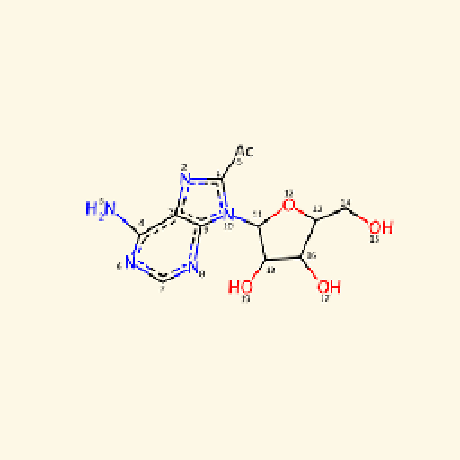 CC(=O)c1nc2c(N)ncnc2n1C1OC(CO)C(O)C1O